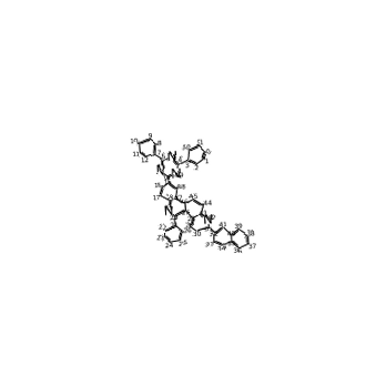 c1ccc(-c2nc(-c3ccccc3)nc(-c3ccc4nc(-c5ccccc5)c5c6ccc(-c7ccc8ccccc8c7)nc6ccc5c4c3)n2)cc1